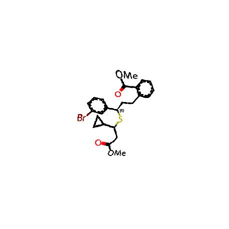 COC(=O)CC(S[C@H](CCc1ccccc1C(=O)OC)c1cccc(Br)c1)C1CC1